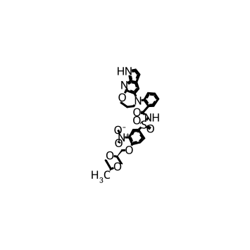 C[C@@H]1CO[C@@H](COc2ccc(S(=O)(=O)NC(=O)c3ccccc3N3CCCOc4nc5[nH]ccc5cc43)cc2[N+](=O)[O-])CO1